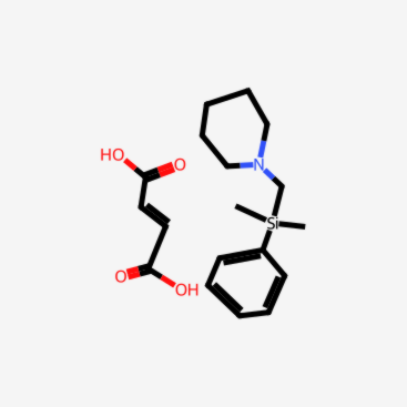 C[Si](C)(CN1CCCCC1)c1ccccc1.O=C(O)C=CC(=O)O